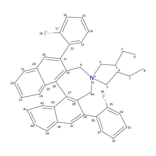 CCCC[N+]1(CCCC)Cc2c(-c3ccccc3F)cc3ccccc3c2-c2c(c(-c3ccccc3F)cc3ccccc23)C1